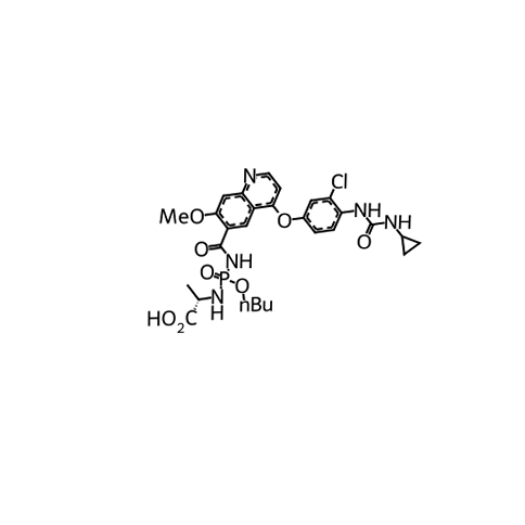 CCCCOP(=O)(NC(=O)c1cc2c(Oc3ccc(NC(=O)NC4CC4)c(Cl)c3)ccnc2cc1OC)N[C@@H](C)C(=O)O